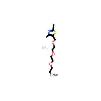 B.COCCOCCOCCOCc1sc(C)nc1C